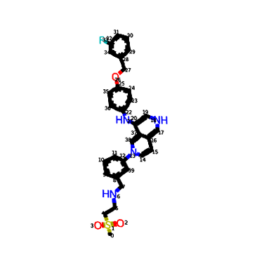 CS(=O)(=O)CCNCc1cccc(N2C=CC3=CNC=C(Nc4ccc(OCc5cccc(F)c5)cc4)C3=C2)c1